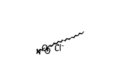 CCCCCCCCCCCCCCCCCC(=O)OCC[N+](C)(C)C.[Cl-]